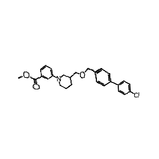 COC(=O)c1cccc(N2CCCC(COCc3ccc(-c4ccc(Cl)cc4)cc3)C2)c1